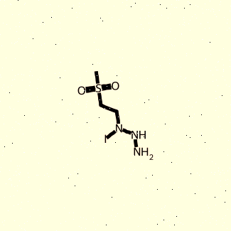 CS(=O)(=O)CCN(I)NN